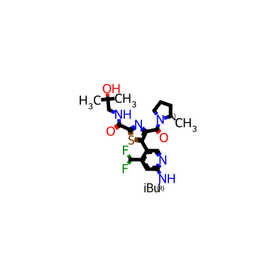 CC[C@@H](C)Nc1cc(C(F)F)c(-c2sc(C(=O)NCC(C)(C)O)nc2C(=O)N2CCC[C@@H]2C)cn1